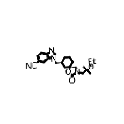 CCOC(C)(C)CN1C[C@@]2(CCC[C@H](Cn3cnc4ccc(C#N)cc43)C2)OC1=O